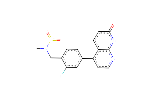 CCN(Cc1ccc(-c2ccnc3[nH]c(=O)ccc23)cc1F)[SH](=O)=O.Cl